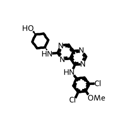 COc1c(Cl)cc(Nc2ncnc3cnc(N[C@H]4CC[C@H](O)CC4)nc23)cc1Cl